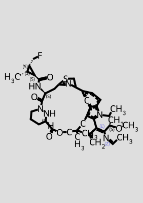 C=C/C(=C(\N=C/C)[C@H](C)OC)c1c2c3cc(ccc3n1CC)C1CSC(=N1)C[C@H](NC(=O)[C@H]1[C@H](C)[C@@H]1CF)C(=O)N1CCC[C@H](N1)C(=O)OCC(C)(C)C2